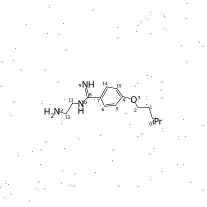 CC(C)CCOc1ccc(C(=N)NCCN)cc1